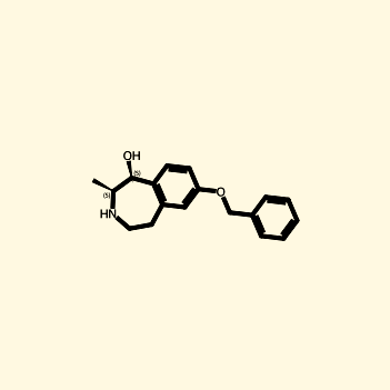 C[C@@H]1NCCc2cc(OCc3ccccc3)ccc2[C@@H]1O